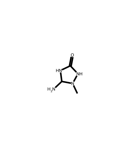 CN1NC(=O)NC1N